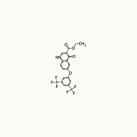 CCOC(=O)c1c[nH]c2ccc(Oc3cc(C(F)(F)F)cc(C(F)(F)F)c3)cc2c1=O